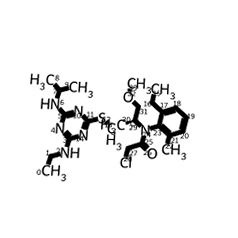 CCNc1nc(NC(C)C)nc(SC)n1.CCc1cccc(C)c1N(C(=O)CCl)[C@@H](C)COC